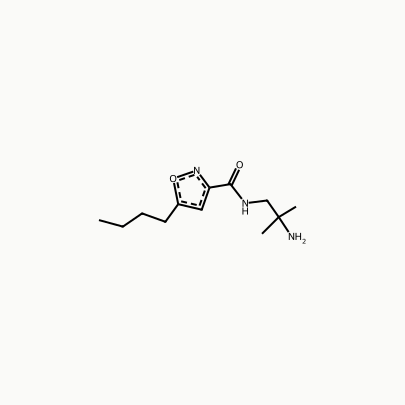 CCCCc1cc(C(=O)NCC(C)(C)N)no1